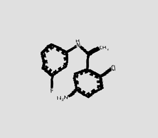 C=C(Nc1cccc(F)c1)c1cc(N)ccc1Cl